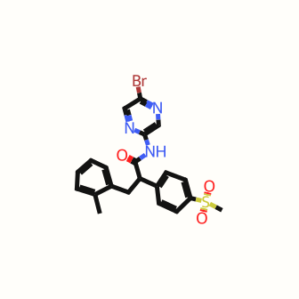 Cc1ccccc1CC(C(=O)Nc1cnc(Br)cn1)c1ccc(S(C)(=O)=O)cc1